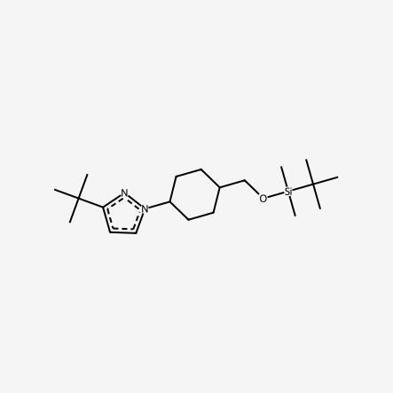 CC(C)(C)c1ccn(C2CCC(CO[Si](C)(C)C(C)(C)C)CC2)n1